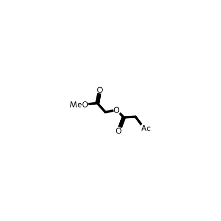 COC(=O)COC(=O)CC(C)=O